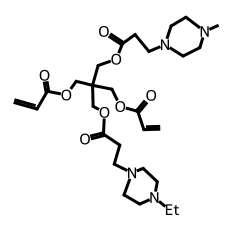 C=CC(=O)OCC(COC(=O)C=C)(COC(=O)CCN1CCN(C)CC1)COC(=O)CCN1CCN(CC)CC1